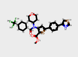 COC(=O)c1sc(-c2ccc(-c3cscn3)cc2)cc1N(C(=O)[C@H]1CC[C@H](C(F)(F)F)CC1)C1CCOCC1